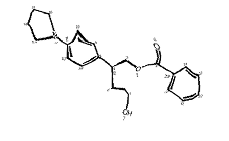 O=C(OC[C@@H](CCO)c1ccc(N2CCCC2)cc1)c1ccccc1